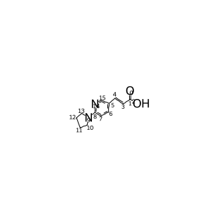 O=C(O)/C=C/c1ccc(N2CCCC2)nc1